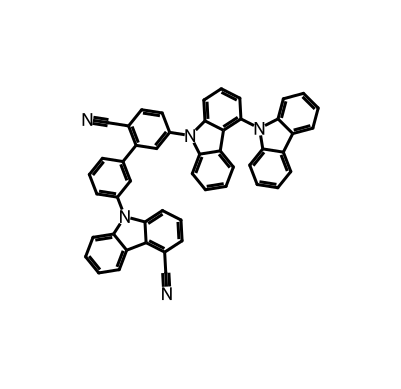 N#Cc1ccc(-n2c3ccccc3c3c(-n4c5ccccc5c5ccccc54)cccc32)cc1-c1cccc(-n2c3ccccc3c3c(C#N)cccc32)c1